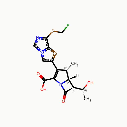 C[C@@H](O)[C@H]1C(=O)N2C(C(=O)O)=C(c3cn4cnc(SCF)c4s3)[C@H](C)[C@H]12